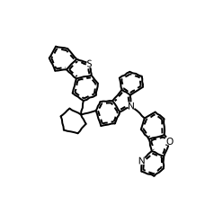 c1cnc2c(c1)oc1ccc(-n3c4ccccc4c4cc(C5(c6ccc7sc8ccccc8c7c6)CCCCC5)ccc43)cc12